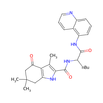 CCCCC(NC(=O)c1[nH]c2c(c1C)C(=O)CC(C)(C)C2)C(=O)Nc1cccc2ncccc12